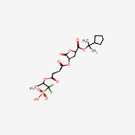 CC(OC(=O)CCC(=O)OC1CC(C(=O)OC(C)(C)C2CCCC2)OC1=O)C(F)(F)S(=O)(=O)O